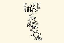 CC(C)C(=O)N[C@@H](CCN1CCC2(CC1)CCN(Cc1ccc(Br)cc1)C2=O)c1ccccc1